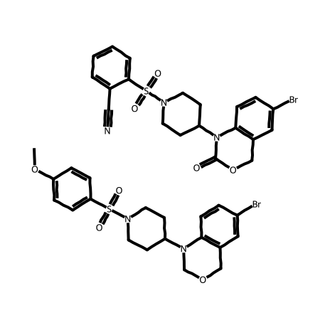 COc1ccc(S(=O)(=O)N2CCC(N3COCc4cc(Br)ccc43)CC2)cc1.N#Cc1ccccc1S(=O)(=O)N1CCC(N2C(=O)OCc3cc(Br)ccc32)CC1